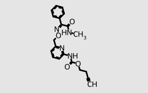 C#CCCOC(=O)Nc1cccc(CON=C(C(=O)NC)c2ccccc2)n1